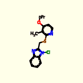 CCCOc1ccnc(SCc2nc3ccccc3n2Cl)c1C